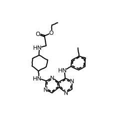 CCOC(=O)CNC1CCC(Nc2ncc3ncnc(Nc4cccc(C)c4)c3n2)CC1